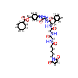 O=C(CCCCCN1C(=O)C=CC1=O)NCC(=O)NCC(=O)N[C@@H](Cc1ccccc1)C(=O)NCC(=O)Nc1ccc(COC(=O)C2CCCCCCC2)cc1